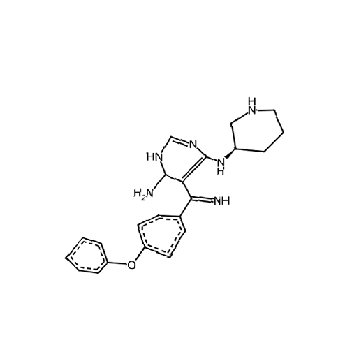 N=C(C1=C(N[C@@H]2CCCNC2)N=CNC1N)c1ccc(Oc2ccccc2)cc1